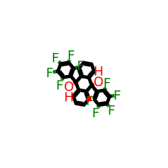 OC1(c2c(F)c(F)c(F)c(F)c2F)c2ccccc2C(O)(c2c(F)c(F)c(F)c(F)c2F)c2ccccc21